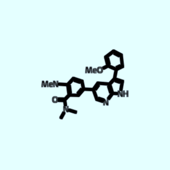 CNc1ccc(-c2cnc3[nH]cc(-c4ccccc4OC)c3c2)cc1C(=O)N(C)C